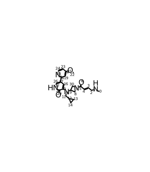 CNCC=CC(=O)N1CC(N(CC2CC2)c2cc(-c3cc(OC)ccn3)c[nH]c2=O)C1